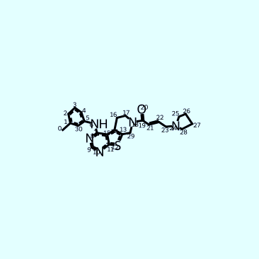 Cc1cccc(Nc2ncnc3sc4c(c23)CCN(C(=O)/C=C/CN2CCCC2)C4)c1